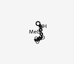 COc1cc(N2CC3(CCCCCCCC3)CN2)ccc1-c1ccc(C(=O)N2CCN(C(=O)C3(O)CC3)CC2)cc1